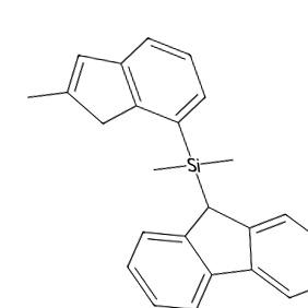 CC1=Cc2cccc([Si](C)(C)C3c4ccccc4-c4ccccc43)c2C1